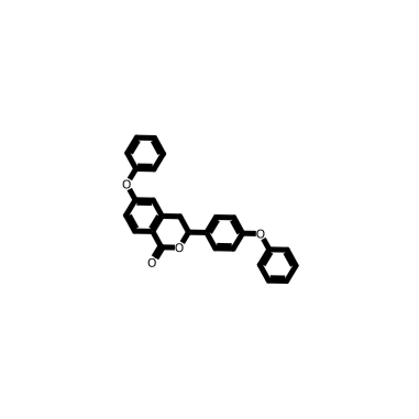 O=C1OC(c2ccc(Oc3ccccc3)cc2)Cc2cc(Oc3ccccc3)ccc21